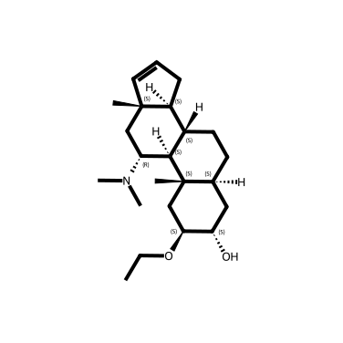 CCO[C@H]1C[C@@]2(C)[C@@H](CC[C@@H]3[C@@H]2[C@H](N(C)C)C[C@]2(C)C=CC[C@@H]32)C[C@@H]1O